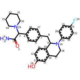 NC(=O)C(c1ccc(CC2c3ccc(O)cc3CCN2c2ccc(F)cc2)cc1)N1CCCCC1